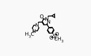 CN1CCN(Cc2cc(-c3ccc(S(C)(=O)=O)cc3)nn(CC3CC3)c2=O)CC1